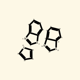 c1ccc2scnc2c1.c1ccc2scnc2c1.c1ccsc1